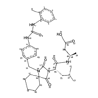 Cc1ccccc1NC(=O)Nc1ccc(CN2C(=O)N([C@@H](CC(C)C)C(=O)N[C@H](C)CC(=O)O)C(=O)C23CCCCC3)cc1